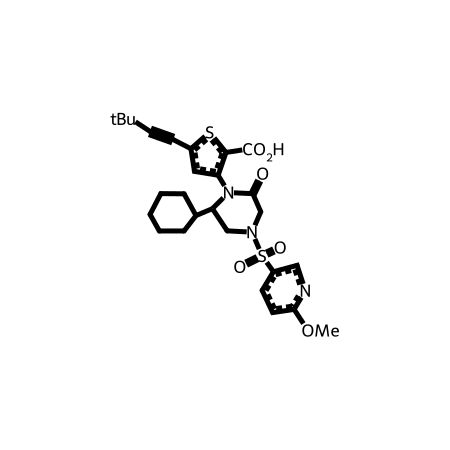 COc1ccc(S(=O)(=O)N2CC(=O)N(c3cc(C#CC(C)(C)C)sc3C(=O)O)C(C3CCCCC3)C2)cn1